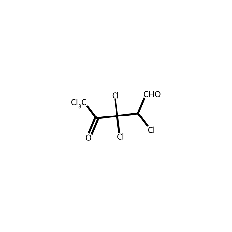 O=CC(Cl)C(Cl)(Cl)C(=O)C(Cl)(Cl)Cl